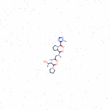 C[C@@H](O)[C@H](NC(=O)CN(C)C(=O)C1CCCN1C(=O)c1ncnn1C)C(=O)N1CCCC1